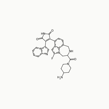 NC1CCN(C(=O)C2Cn3c(F)cc4c(C5=C(c6cnc7ccccn67)C(=O)NC5=O)ccc(c43)CN2)CC1